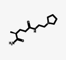 C[C@@H](C[CH]C(=O)NCCN1CCCC1)C(N)=O